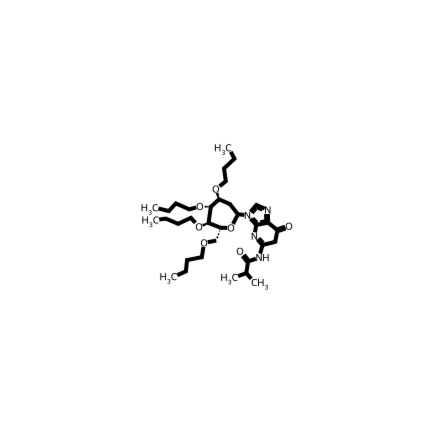 CCCCOC[C@H]1OC(n2cnc3c2N=C(NC(=O)C(C)C)CC3=O)C[C@H](OCCCC)[C@@H](OCCCC)[C@@H]1OCCCC